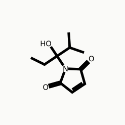 CCC(O)(C(C)C)N1C(=O)C=CC1=O